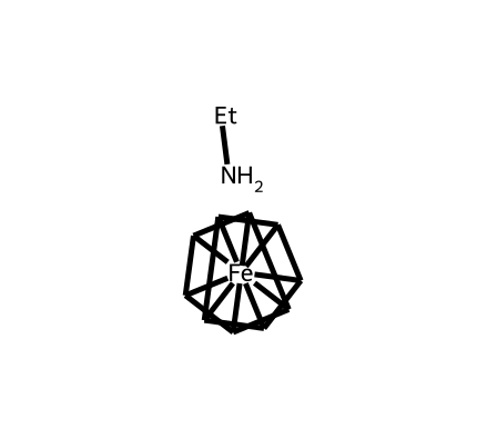 CCN.[CH]12[CH]3[CH]4[CH]5[CH]1[Fe]23451678[CH]2[CH]1[CH]6[CH]7[CH]28